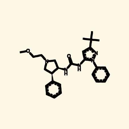 COCCN1C[C@@H](NC(=O)Nc2cc(C(C)(C)C)nn2-c2ccccc2)[C@H](c2ccccc2)C1